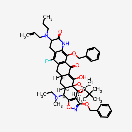 C=CCN(CCC)C1Cc2c(F)c3c(c(OCc4ccccc4)c2NC1=O)C(=O)C1=C(O)C2(O[Si](C)(C)C(C)(C)C)C(=O)c4c(OCc5ccccc5)noc4[C@@H](N(C)CC)[C@@H]2C[C@@H]1C3